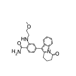 COCCNc1cc(-c2c3n(c4ccccc24)C(=O)CCC3)ccc1C(N)=O